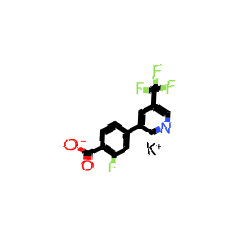 O=C([O-])c1ccc(-c2cncc(C(F)(F)F)c2)cc1F.[K+]